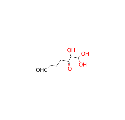 O=CCCCC(=O)C(O)[C](O)O